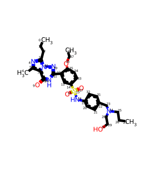 CCCc1nc(C)c2c(=O)[nH]c(-c3cc(S(=O)(=O)Nc4ccc(CN(CCC)CCO)cc4)ccc3OCC)nn12